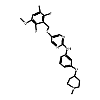 COc1cc(C)c(F)c(COc2cnc(Nc3cccc(OC4CCN(C)CC4)c3)nc2)c1F